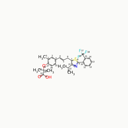 Cc1cc(C=CCc2sc(-c3ccccc3C(F)(F)F)nc2C(C)C)ccc1OC(C)(C)C(=O)O